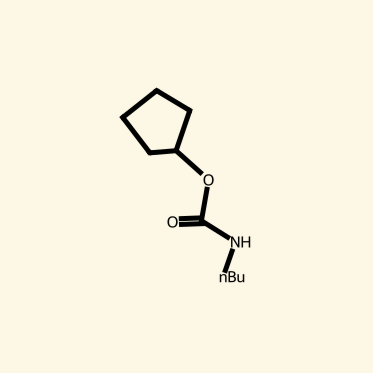 CCCCNC(=O)OC1CCCC1